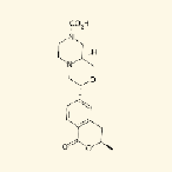 C[C@@H]1Cc2cc([C@@H]3CN4CCN(C(=O)O)C[C@H]4CO3)ccc2C(=O)O1